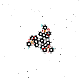 O=P1(c2c3ccccc3c(-c3cc(-c4c5ccccc5c(P5(=O)c6cc(F)ccc6Oc6ccc(F)cc65)c5ccccc45)cc(-c4c5ccccc5c(P5(=O)c6cc(F)ccc6Oc6ccc(F)cc65)c5ccccc45)c3)c3ccccc23)c2cc(F)ccc2Oc2ccc(F)cc21